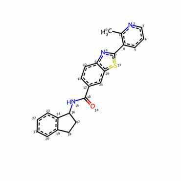 Cc1ncccc1-c1nc2ccc(C(=O)NC3CCc4ccccc43)cc2s1